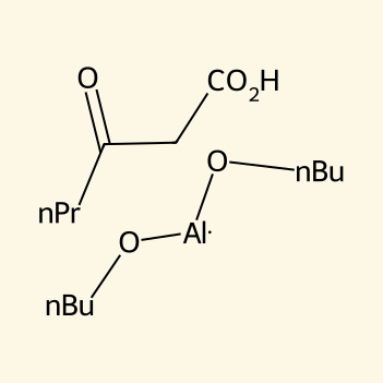 CCCC(=O)CC(=O)O.CCCC[O][Al][O]CCCC